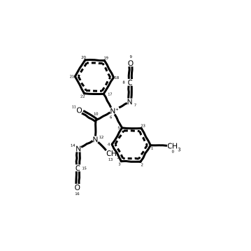 Cc1cccc([N+](N=C=O)(C(=O)N(C)N=C=O)c2ccccc2)c1